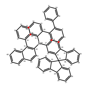 c1ccc(-c2ccccc2-c2ccccc2N(c2ccc3c(c2)C2(c4ccccc4-c4ccccc42)c2ccccc2-3)c2ccc3ccccc3c2-c2ccccc2)cc1